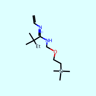 C=C/N=C(/NCOCC[Si](C)(C)C)C(C)(C)CC